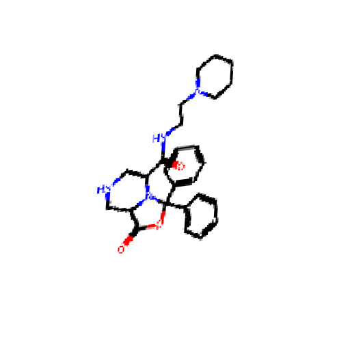 O=C(NCCN1CCCCC1)C1CNCC2C(=O)OC(c3ccccc3)(c3ccccc3)N12